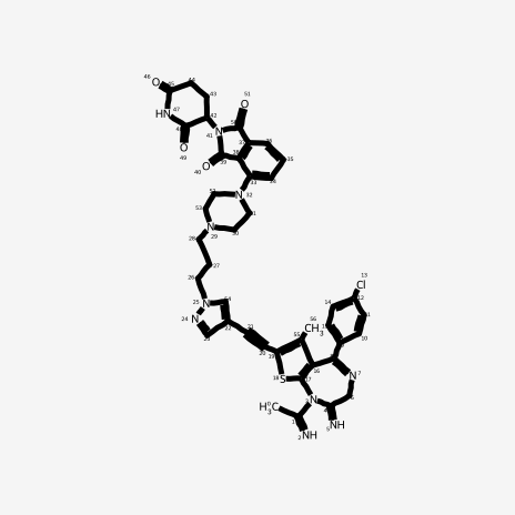 CC(=N)N1C(=N)CN=C(c2ccc(Cl)cc2)c2c1sc(C#Cc1cnn(CCCN3CCN(c4cccc5c4C(=O)N(C4CCC(=O)NC4=O)C5=O)CC3)c1)c2C